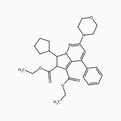 CCOC(=O)C1=C2C(c3ccccc3)=CC(N3CCOCC3)=NN2C(C2CCCC2)C1C(=O)OCC